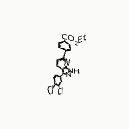 CCOC(=O)c1ccc(-c2ccc3c(-c4ccc(Cl)c(Cl)c4)n[nH]c3n2)cc1